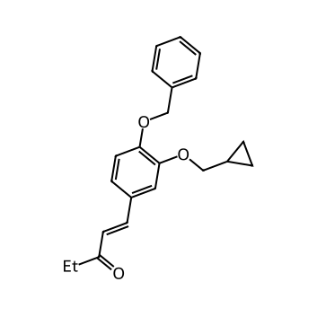 CCC(=O)C=Cc1ccc(OCc2ccccc2)c(OCC2CC2)c1